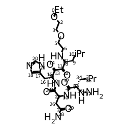 CCOCCOCCN[C@@H](CC(C)C)C(=O)C(=O)[C@H](Cc1cnc[nH]1)NC(=O)C(CC(N)=O)NC(=O)[C@H](CC(C)C)NN